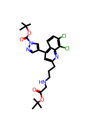 CC(C)(C)OC(=O)CNCCCc1cc(-c2cnn(C(=O)OC(C)(C)C)c2)c2ccc(Cl)c(Cl)c2n1